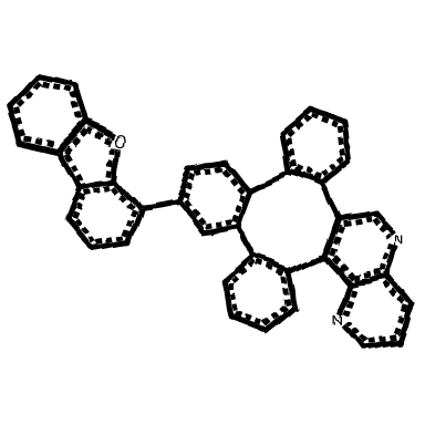 c1ccc2c(c1)-c1ccc(-c3cccc4c3oc3ccccc34)cc1-c1ccccc1-c1c-2cnc2cccnc12